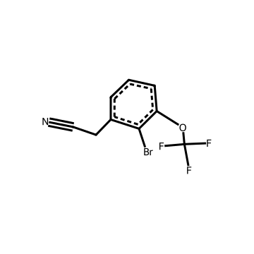 N#CCc1cccc(OC(F)(F)F)c1Br